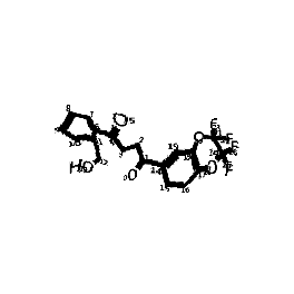 O=C(CCC(=O)c1ccccc1CO)c1ccc2c(c1)OC(F)(F)C(F)(F)O2